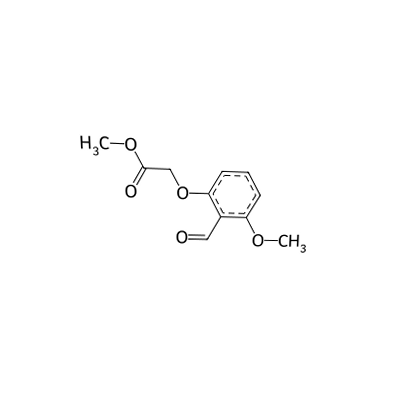 COC(=O)COc1cccc(OC)c1C=O